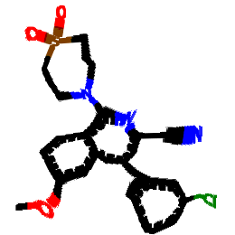 COc1ccc2c(N3CCS(=O)(=O)CC3)nc(C#N)c(-c3cccc(Cl)c3)c2c1